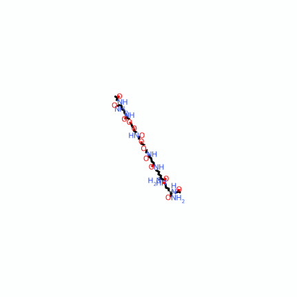 CC(=O)CNC(CCCCNC(=O)COCCOCCNC(=O)COCCOCCNC(=O)CCCC(=O)NCCCC[C@H](N)C(=O)NCCCC[C@H](NCC(C)=O)C(N)=O)C(N)=O